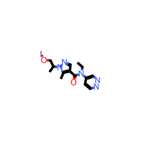 CCN(C(=O)c1cnn(C(C)COI)c1C)c1ccnnc1